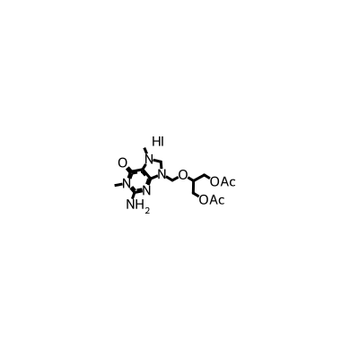 CC(=O)OCC(COC(C)=O)OCN1CN(C)c2c1nc(N)n(C)c2=O.I